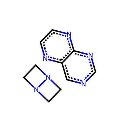 C1CN2CCN12.c1cnc2ncncc2n1